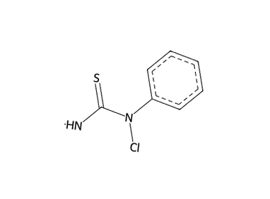 [NH]C(=S)N(Cl)c1ccccc1